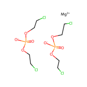 O=P([O-])(OCCCl)OCCCl.O=P([O-])(OCCCl)OCCCl.[Mg+2]